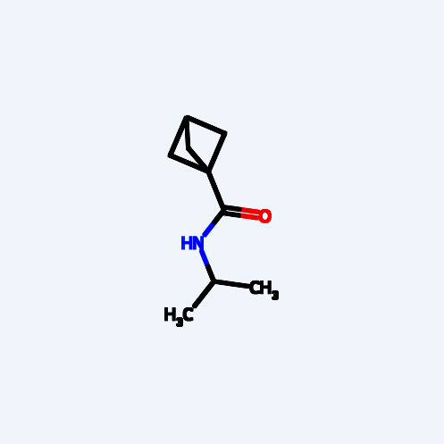 CC(C)NC(=O)C12CC(C1)C2